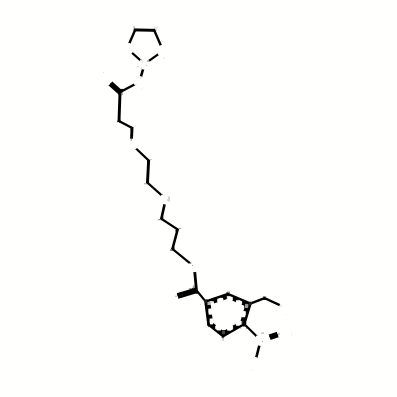 O=C(CCOCCNCCCNC(=O)c1ccc([N+](=O)[O-])c(CO)c1)ON1OCCO1